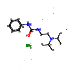 Br.CC(C)N(CCNC(=O)Nc1ccccc1)C(C)C